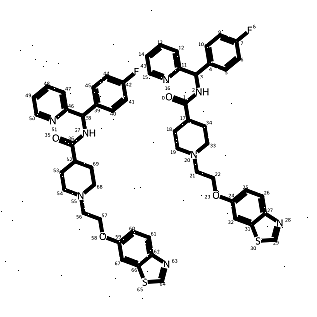 O=C(NC(c1ccc(F)cc1)c1ccccn1)C1CCN(CCOc2ccc3ncsc3c2)CC1.O=C(NC(c1ccc(F)cc1)c1ccccn1)C1CCN(CCOc2ccc3ncsc3c2)CC1